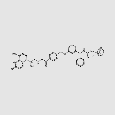 O=C(NC(c1ccccc1)c1cccc(OCc2ccc(C(=O)CNC[C@H](O)c3ccc(O)c4[nH]c(=O)ccc34)cc2)c1)O[C@H]1CN2CCC1CC2